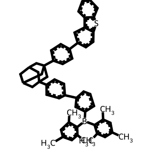 Cc1cc(C)c(B(c2cccc(-c3ccc(C45CC6CC(C4)CC(c4ccc(-c7ccc8sc9ccccc9c8c7)cc4)(C6)C5)cc3)c2)c2c(C)cc(C)cc2C)c(C)c1